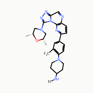 CCNC1CCN(c2ccc(-c3ccc4ncc5nnc(N6C[C@@H](C)O[C@@H](C)C6)n5c4n3)cc2C(F)(F)F)CC1